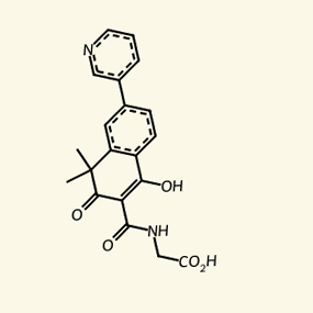 CC1(C)C(=O)C(C(=O)NCC(=O)O)=C(O)c2ccc(-c3cccnc3)cc21